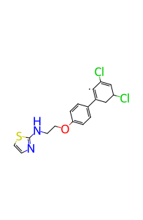 ClC1=CC(Cl)CC(c2ccc(OCCNc3nccs3)cc2)=[C]1